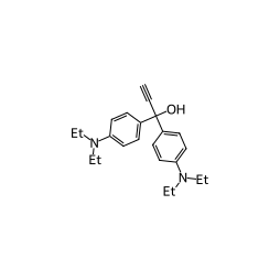 C#CC(O)(c1ccc(N(CC)CC)cc1)c1ccc(N(CC)CC)cc1